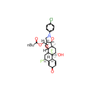 CCCCC(=O)OCC(=O)[C@@]12ON(c3ccc(Cl)cc3)C[C@@H]1C[C@H]1[C@@H]3C[C@H](F)C4=CC(=O)C=C[C@]4(C)[C@@]3(F)[C@@H](O)C[C@@]12C